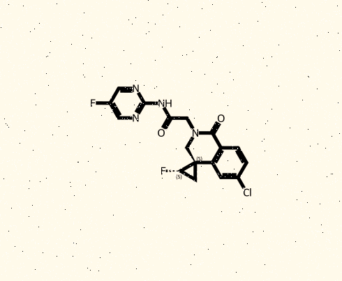 O=C(CN1C[C@]2(C[C@@H]2F)c2cc(Cl)ccc2C1=O)Nc1ncc(F)cn1